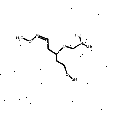 CO/N=C\CC(CCOS)OCN(C)O